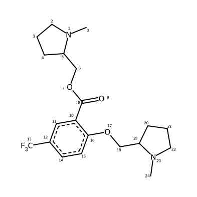 CN1CCCC1COC(=O)c1cc(C(F)(F)F)ccc1OCC1CCCN1C